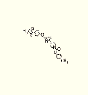 Cc1ccc(OC(=O)N2CCC(c3nc(COc4ccc(S(C)(=O)=O)cc4)cs3)CC2)cc1